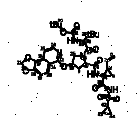 C=CC1C[C@]1(NC(=O)[C@@H]1C[C@@H](Oc2nccc3c4c(ccc23)OCO4)CN1C(=O)[C@@H](NC(=O)OC(C)(C)C)C(C)(C)C)C(=O)NS(=O)(=O)C1CC1